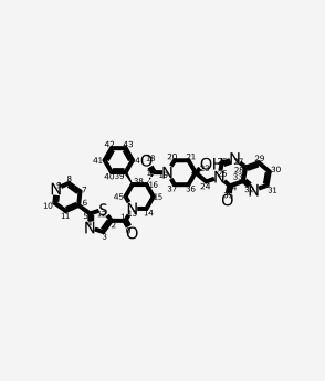 O=C(c1cnc(-c2ccncc2)s1)N1CC[C@@H](C(=O)N2CCC(O)(Cn3cnc4cccnc4c3=O)CC2)[C@H](c2ccccc2)C1